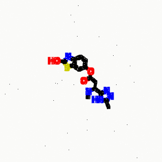 C=N[C@@H](CC(=O)Oc1ccc2nc(O)sc2c1)c1nnc(C)[nH]1